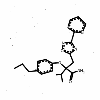 CCCc1ccc(OC(Cc2nc(-c3ncccn3)no2)(C(N)=O)C(C)C)cc1